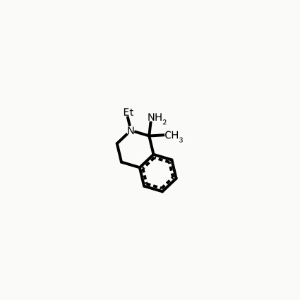 CCN1CCc2ccccc2C1(C)N